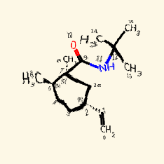 C=C[C@@H]1CC[C@@H](C)[C@@](C)(C(=O)NC(C)(C)C)C1